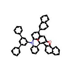 c1ccc(-c2cc(-c3ccccc3)cc(N(c3ccc(-c4ccc5ccccc5c4)cc3)c3ccccc3-c3cccc4oc5c6ccccc6ccc5c34)c2)cc1